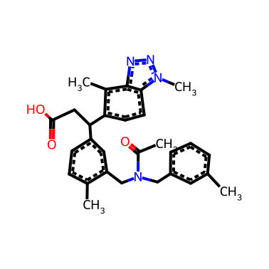 CC(=O)N(Cc1cccc(C)c1)Cc1cc(C(CC(=O)O)c2ccc3c(nnn3C)c2C)ccc1C